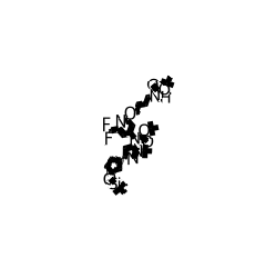 CC(C)(C)OC(=O)NCCCCOc1cc(N(C(=O)OC(C)(C)C)c2cc([C@H]3CC[C@@H](O[Si](C)(C)C(C)(C)C)C3)nn2C(C)(C)C)cc(C(F)F)n1